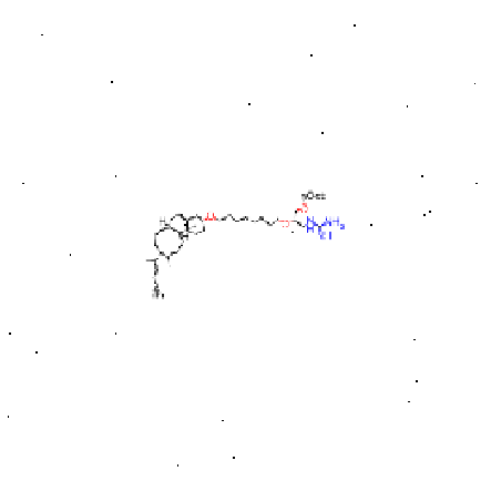 CCCCCCCCOC[C@@H](CNC(=N)N)OCCCCCCCCO[C@H]1CC[C@@]2(C)C(=CC[C@H]3CCC[C@H]([C@H](C)CCCC(C)C)C(C)CC[C@@H]32)C1